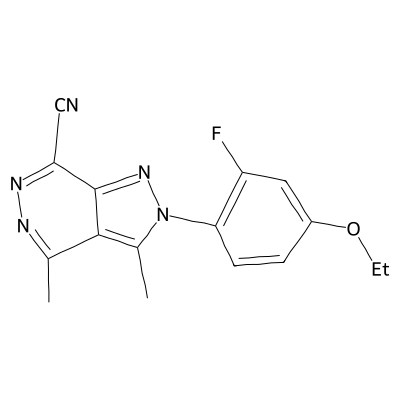 CCOc1ccc(-n2nc3c(C#N)nnc(C)c3c2C)c(F)c1